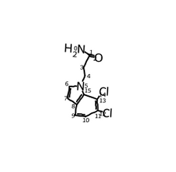 NC(=O)CCn1ccc2ccc(Cl)c(Cl)c21